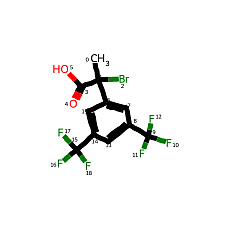 CC(Br)(C(=O)O)c1cc(C(F)(F)F)cc(C(F)(F)F)c1